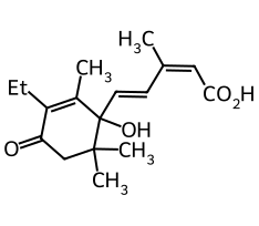 CCC1=C(C)C(O)(/C=C/C(C)=C\C(=O)O)C(C)(C)CC1=O